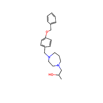 CC(O)CN1CCCN(Cc2ccc(OCc3ccccc3)cc2)CC1